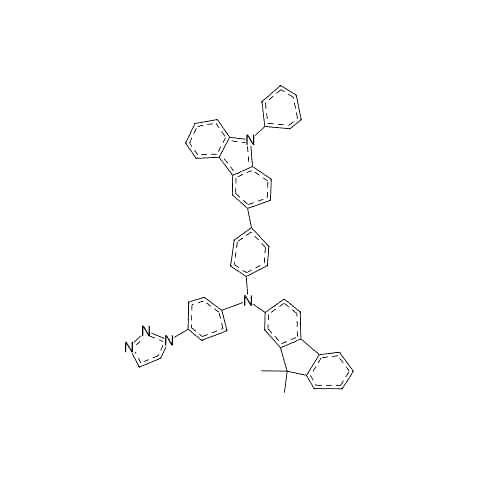 CC1(C)c2ccccc2-c2ccc(N(c3ccc(-c4ccc5c(c4)c4ccccc4n5-c4ccccc4)cc3)c3ccc(-n4ccnn4)cc3)cc21